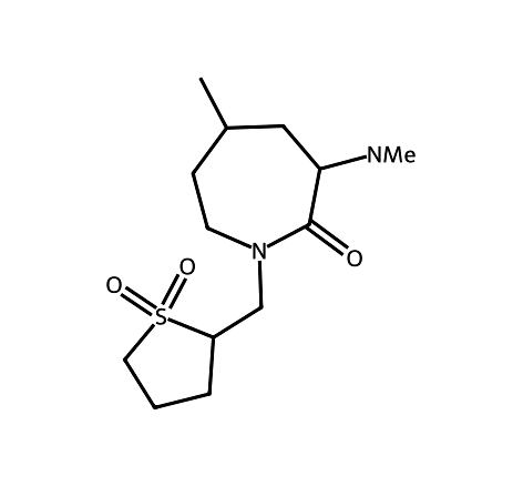 CNC1CC(C)CCN(CC2CCCS2(=O)=O)C1=O